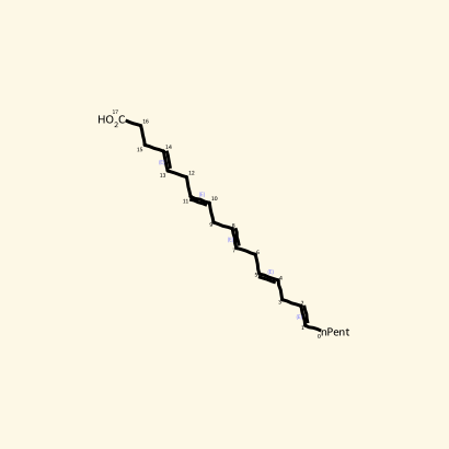 CCCCC/C=C/C/C=C/C/C=C/C/C=C/C/C=C/CCC(=O)O